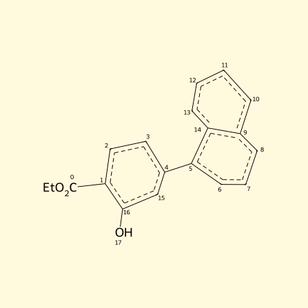 CCOC(=O)c1ccc(-c2cccc3ccccc23)cc1O